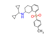 Cc1ccc(S(=O)(=O)c2cccc3c2CC(NC(C2CC2)C2CC2)CC3)cc1